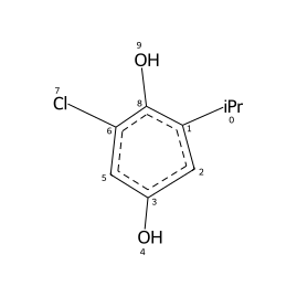 CC(C)c1cc(O)cc(Cl)c1O